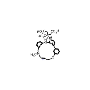 CN1C/C=C/CCOc2cccc(c2)-c2ccnc(n2)Nc2cccc(c2)C1.O=C(O)CC(O)(CC(=O)O)C(=O)O